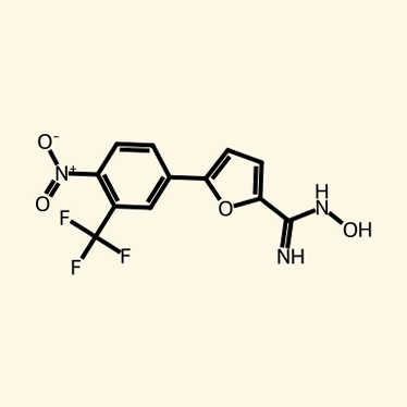 N=C(NO)c1ccc(-c2ccc([N+](=O)[O-])c(C(F)(F)F)c2)o1